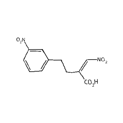 O=C(O)C(=C[N+](=O)[O-])CCc1cccc([N+](=O)[O-])c1